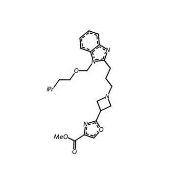 COC(=O)c1coc(C2CN(CCCc3nc4ccccc4n3COCCC(C)C)C2)n1